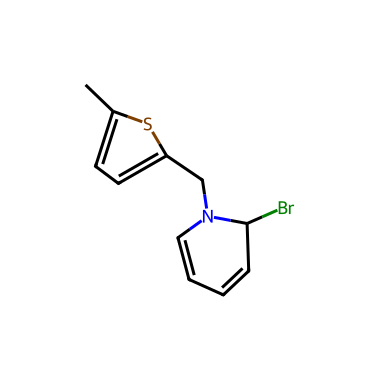 Cc1ccc(CN2C=CC=CC2Br)s1